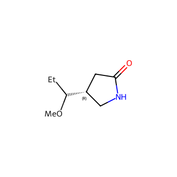 CCC(OC)[C@H]1CNC(=O)C1